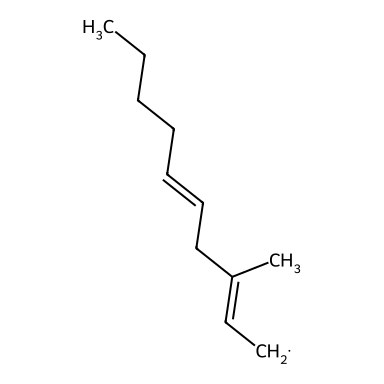 [CH2]/C=C(\C)C/C=C/CCCC